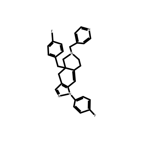 Fc1ccc(CC23Cc4cnn(-c5ccc(F)cc5)c4C=C2CCN(Cc2ccncc2)C3)cc1